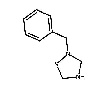 c1ccc(CN2CNCS2)cc1